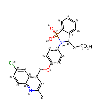 Cc1cc(COc2ccc(N3C(CC(=O)O)c4ccccc4S3(=O)=O)cc2)c2cc(Cl)ccc2n1